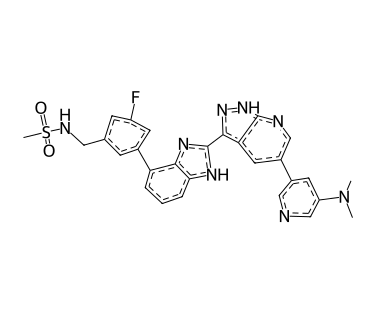 CN(C)c1cncc(-c2cnc3[nH]nc(-c4nc5c(-c6cc(F)cc(CNS(C)(=O)=O)c6)cccc5[nH]4)c3c2)c1